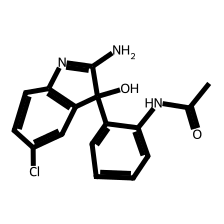 CC(=O)Nc1ccccc1C1(O)C(N)=Nc2ccc(Cl)cc21